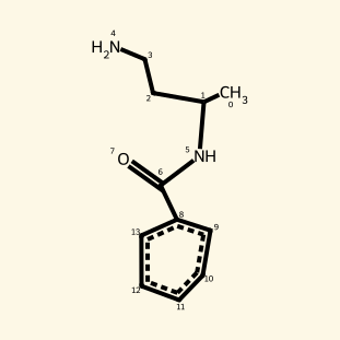 CC(CCN)NC(=O)c1ccccc1